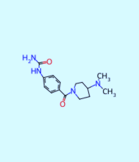 CN(C)C1CCN(C(=O)c2ccc(NC(N)=O)cc2)CC1